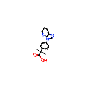 CC(C)(C(=O)O)c1ccc(-n2cnc3cccnc32)cc1